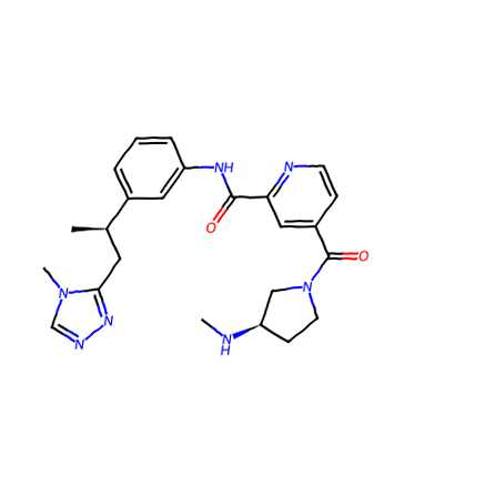 CN[C@@H]1CCN(C(=O)c2ccnc(C(=O)Nc3cccc([C@H](C)Cc4nncn4C)c3)c2)C1